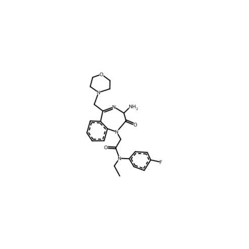 CCN(C(=O)CN1C(=O)C(N)N=C(CN2CCOCC2)c2ccccc21)c1ccc(F)cc1